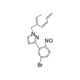 C=C/C=C\C(=C/C)Cn1ccc(-c2cc(Br)ccc2N=O)n1